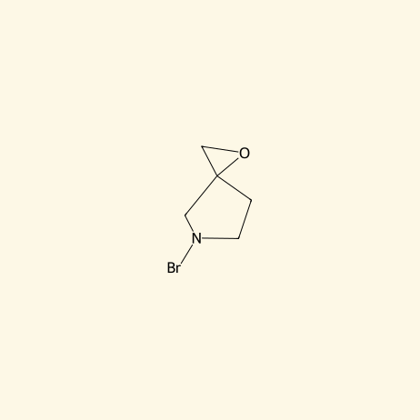 BrN1CCC2(CO2)C1